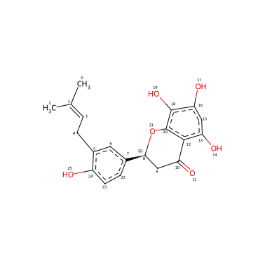 CC(C)=CCc1cc([C@@H]2CC(=O)c3c(O)cc(O)c(O)c3O2)ccc1O